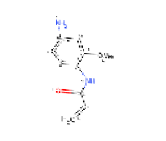 C=CC(=O)Nc1ccc(N)cc1OC